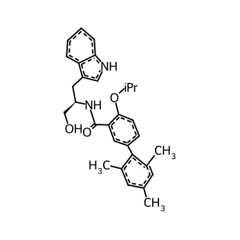 Cc1cc(C)c(-c2ccc(OC(C)C)c(C(=O)N[C@@H](CO)Cc3c[nH]c4ccccc34)c2)c(C)c1